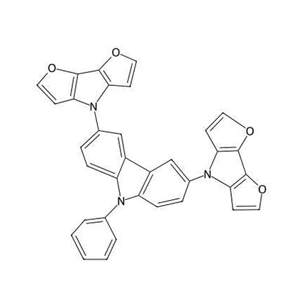 c1ccc(-n2c3ccc(-n4c5ccoc5c5occc54)cc3c3cc(-n4c5ccoc5c5occc54)ccc32)cc1